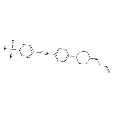 C=CCC[C@H]1CC[C@H](c2ccc(C#Cc3ccc(C(F)(F)F)cc3)cc2)CC1